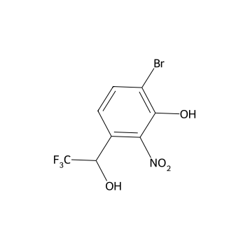 O=[N+]([O-])c1c(C(O)C(F)(F)F)ccc(Br)c1O